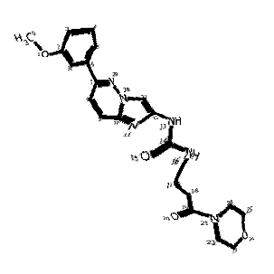 COc1cccc(-c2ccc3nc(NC(=O)NCCC(=O)N4CCOCC4)cn3n2)c1